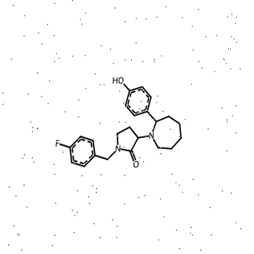 O=C1C(N2CCCCCC2c2ccc(O)cc2)CCN1Cc1ccc(F)cc1